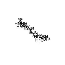 CC(C)(O)C1CN(c2ccc(C3CN3C(=O)N3CC4(CC(C(=N)NC(=N)C5CC5)C4)C3)cn2)C1